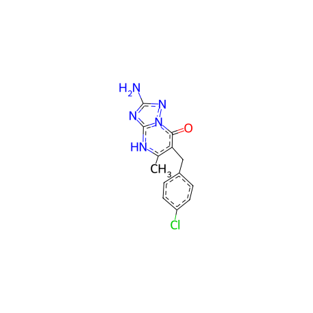 Cc1[nH]c2nc(N)nn2c(=O)c1Cc1ccc(Cl)cc1